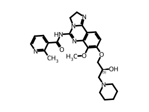 COc1c(OC[C@@H](O)CN2CCCCC2)ccc2c1N=C(NC(=O)c1cccnc1C)N1CCN=C21